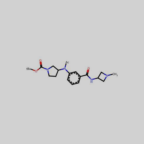 CC(=O)N(c1cccc(C(=O)NC2CN(C)C2)c1)C1CCN(C(=O)OC(C)(C)C)C1